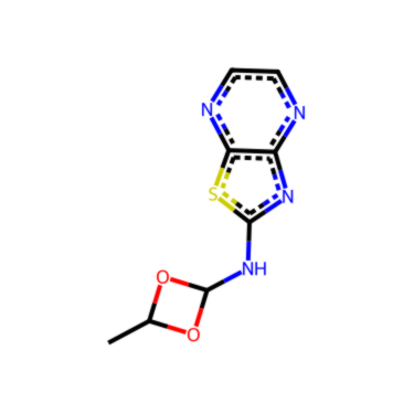 CC1OC(Nc2nc3nccnc3s2)O1